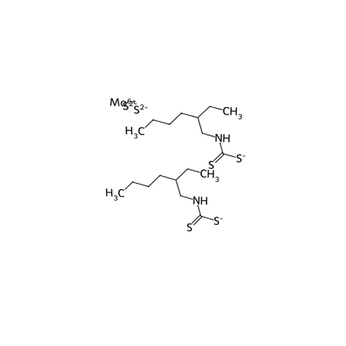 CCCCC(CC)CNC(=S)[S-].CCCCC(CC)CNC(=S)[S-].[Mo+6].[S-2].[S-2]